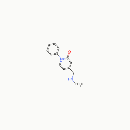 O=C(O)NCc1ccn(-c2ccccc2)c(=O)c1